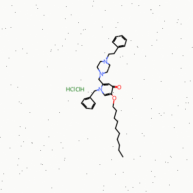 CCCCCCCCCCOc1cn(Cc2ccccc2)c(CN2CCN(CCc3ccccc3)CC2)cc1=O.Cl.Cl